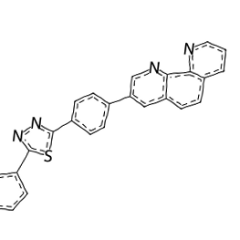 c1ccc(-c2nnc(-c3ccc(-c4cnc5c(ccc6cccnc65)c4)cc3)s2)cc1